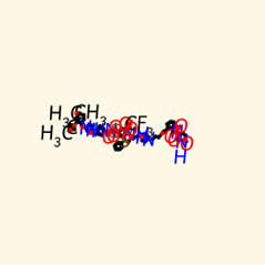 CC1(C)CCC(CN2CCN(c3ccc(C(=O)NS(=O)(=O)c4ccc(N[C@H](CCN5CCN(CCCC#Cc6cccc7c6C(=O)N(C6CCC(=O)NC6=O)C7=O)CC5)CSc5ccccc5)c(S(=O)(=O)C(F)(F)F)c4)cc3)CC2)=C(C23CC(C)(C2)C3)C1